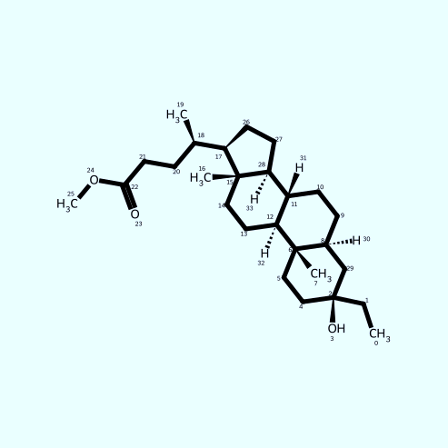 CC[C@]1(O)CC[C@@]2(C)[C@@H](CC[C@@H]3[C@@H]2CC[C@]2(C)[C@@H]([C@H](C)CCC(=O)OC)CC[C@@H]32)C1